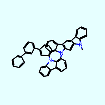 Cn1c2ccccc2c2cc3c4ccccc4n(-c4cccc5c6ccccc6n(-c6cccc(-c7cccc(-c8ccccc8)c7)c6)c45)c3cc21